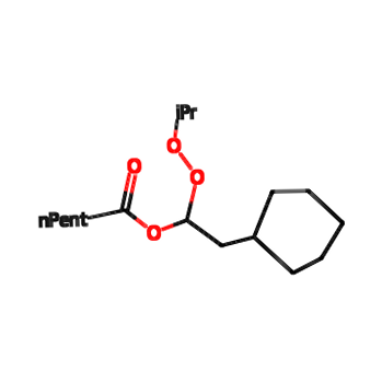 CCCCCC(=O)OC(CC1CCCCC1)OOC(C)C